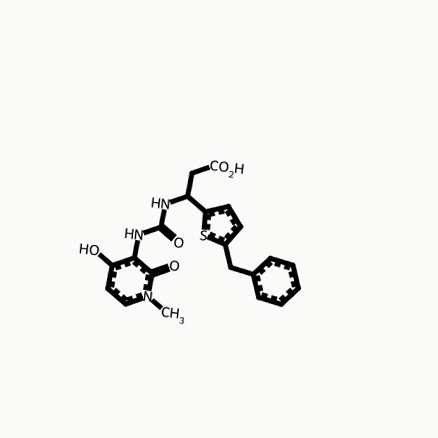 Cn1ccc(O)c(NC(=O)NC(CC(=O)O)c2ccc(Cc3ccccc3)s2)c1=O